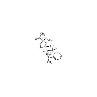 CC(=O)[C@@]1(O)CC[C@H]2[C@@H]3C=C(C)C4=CC=CC[C@]4(C)[C@H]3CC[C@@]21C